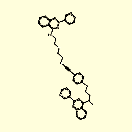 CN(CCOc1ccc(C#COCCOCCNc2nc(-c3cccnc3)nc3ccccc23)cc1)c1nc(-c2cccnc2)nc2ccccc12